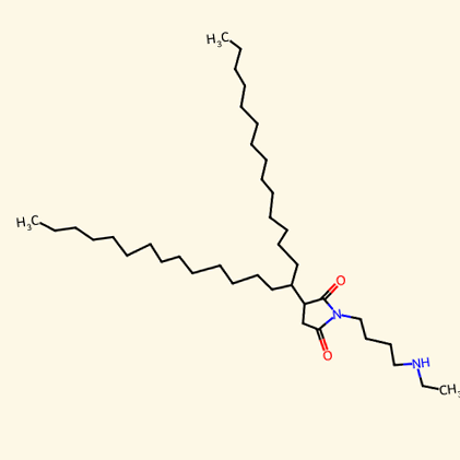 CCCCCCCCCCCCCCC(CCCCCCCCCCCCCC)C1CC(=O)N(CCCCNCC)C1=O